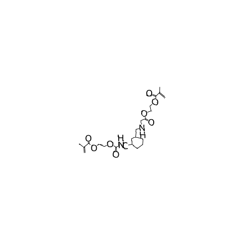 C=C(C)C(=O)OCCOC(=O)CNCC1CCCC(CNC(=O)OCCOC(=O)C(=C)C)C1